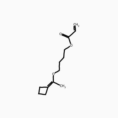 C=CC(=O)OCCCCOC(C)=C1CCC1